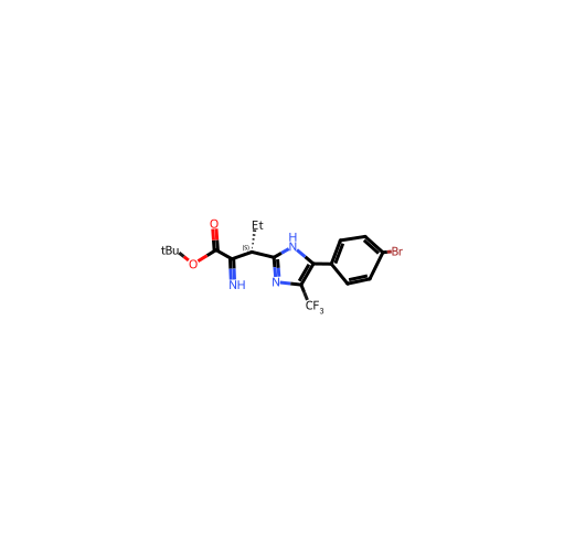 CC[C@@H](C(=N)C(=O)OC(C)(C)C)c1nc(C(F)(F)F)c(-c2ccc(Br)cc2)[nH]1